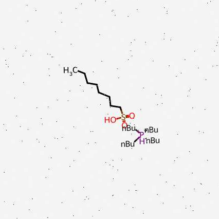 CCCCCCCCS(=O)(=O)O.CCCC[PH](CCCC)(CCCC)CCCC